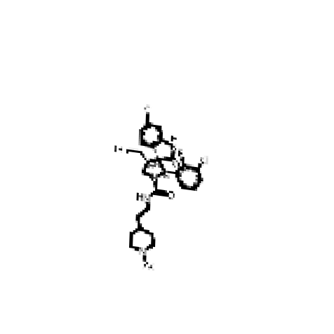 CC(=O)N1CCC(CCNC(=O)N2C[C@@H](CC(C)(C)C)[C@@]3(C(=O)Nc4cc(Cl)ccc43)[C@H]2c2cccc(Cl)c2F)CC1